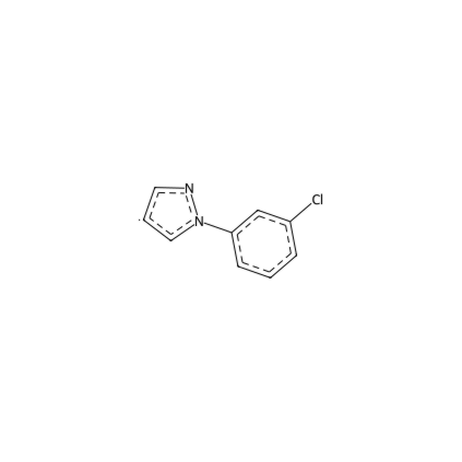 Clc1cccc(-n2c[c]cn2)c1